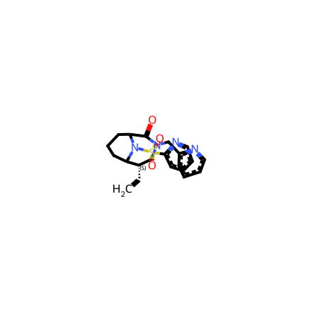 C=C[C@H]1CN(Cc2ccccn2)C(=O)C2CCCC1N2S(=O)(=O)c1ccccn1